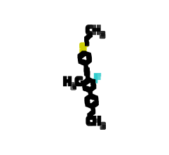 CCCCSc1ccc(C#Cc2c(C)cc(-c3ccc(CCC)cc3)cc2F)cc1